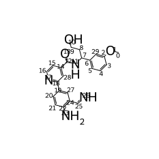 COc1cccc(C(CCO)NC(=O)c2ccnc(-c3ccc(N)c(C=N)c3)c2)c1